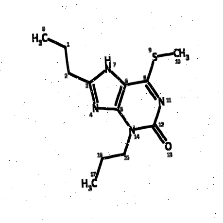 CCCc1nc2c([nH]1)c(SC)nc(=O)n2CCC